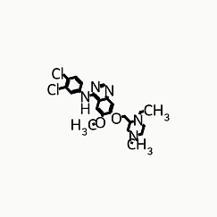 CCN1CCN(C)CC1COc1cc2ncnc(Nc3ccc(Cl)c(Cl)c3)c2cc1OC